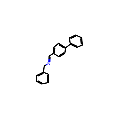 C(=NCc1ccccc1)c1ccc(-c2ccccc2)cc1